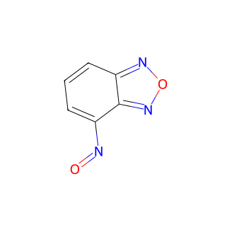 O=Nc1cccc2nonc12